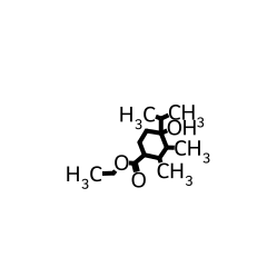 CCOC(=O)C1CCC(O)(C(C)C)C(C)C1C